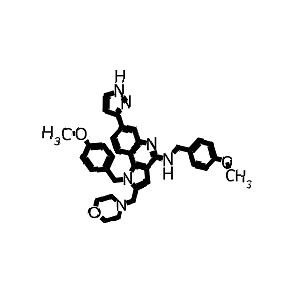 COc1ccc(CNc2nc3cc(-c4cc[nH]n4)ccc3c3c2cc(CN2CCOCC2)n3Cc2ccc(OC)cc2)cc1